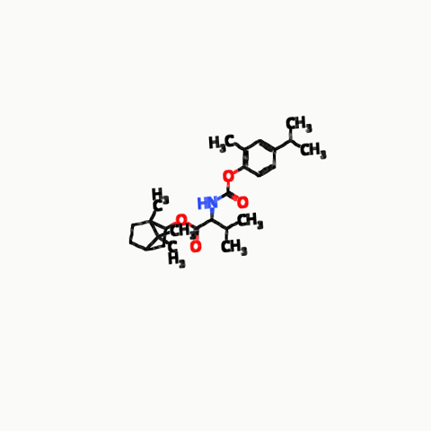 Cc1cc(C(C)C)ccc1OC(=O)N[C@H](C(=O)OC1CC2CCC1(C)C2(C)C)C(C)C